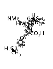 CNCCN[C@@H]1Cc2c(nnc(Nc3nc4ccccc4s3)c2C)N(c2nc(C(=O)O)c(CCCOc3ccc(CCCN(C)C)c(F)c3)s2)C1